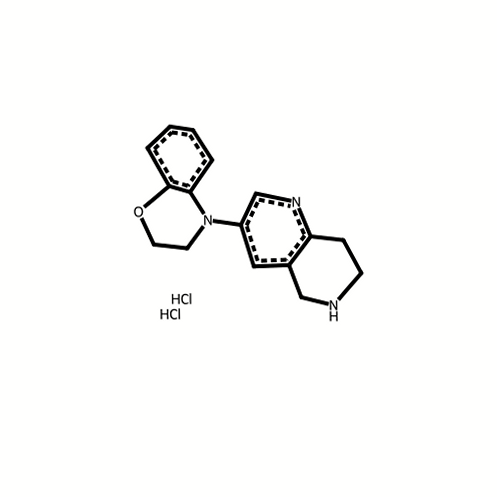 Cl.Cl.c1ccc2c(c1)OCCN2c1cnc2c(c1)CNCC2